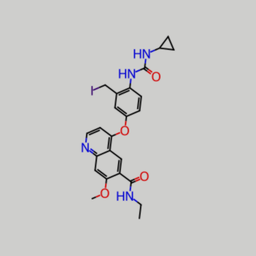 CCNC(=O)c1cc2c(Oc3ccc(NC(=O)NC4CC4)c(CI)c3)ccnc2cc1OC